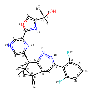 CC[C@](C)(O)c1coc(-c2cncc([C@@]34CC[C@@H](c5cc(-c6c(F)cccc6F)nnc53)C4(C)C)n2)n1